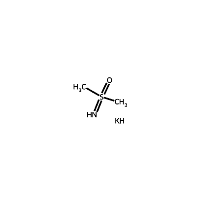 CS(C)(=N)=O.[KH]